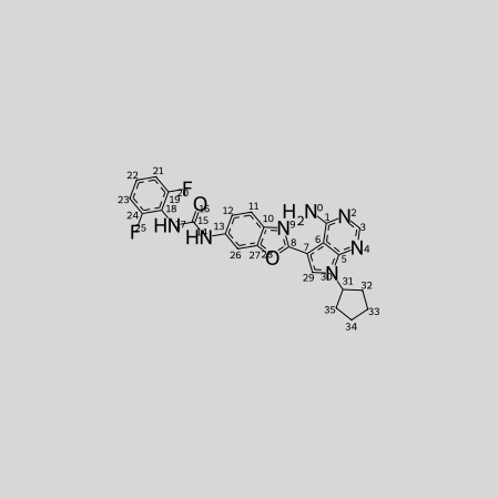 Nc1ncnc2c1c(-c1nc3ccc(NC(=O)Nc4c(F)cccc4F)cc3o1)cn2C1CCCC1